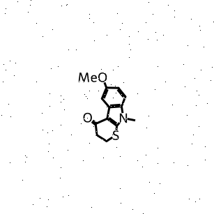 COc1ccc2c(c1)c1c(n2C)SCCC1=O